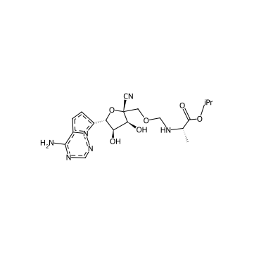 CC(C)OC(=O)[C@H](C)NCOC[C@@]1(C#N)O[C@@H](c2ccc3c(N)ncnn23)[C@H](O)[C@@H]1O